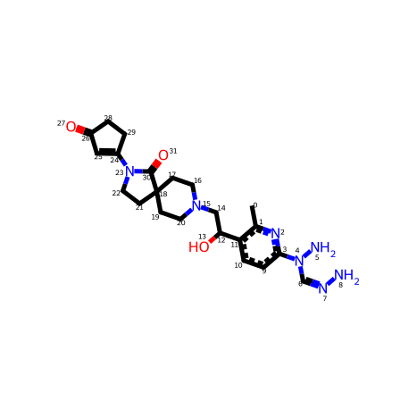 Cc1nc(N(N)/C=N\N)ccc1C(O)CN1CCC2(CC1)CCN(C1=CC(=O)CC1)C2=O